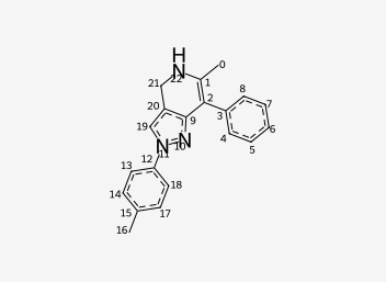 CC1=C(c2ccccc2)c2nn(-c3ccc(C)cc3)cc2CN1